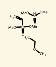 C=CP(=O)(OC)OC.CCOC.CO[PH](=O)OC